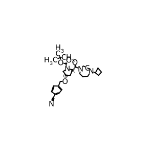 CC(C)(C)OC(=O)N1C[C@@H](OCc2ccc(C#N)cc2)C[C@@H]1C(=O)N1CCCN(C2CCC2)CC1